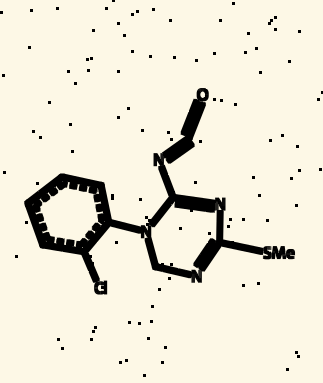 CSC1=NCN(c2ccccc2Cl)C(N=C=O)=N1